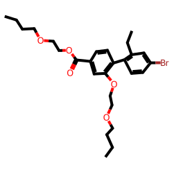 CCCCOCCOC(=O)c1ccc(-c2ccc(Br)cc2CC)c(OCCOCCCC)c1